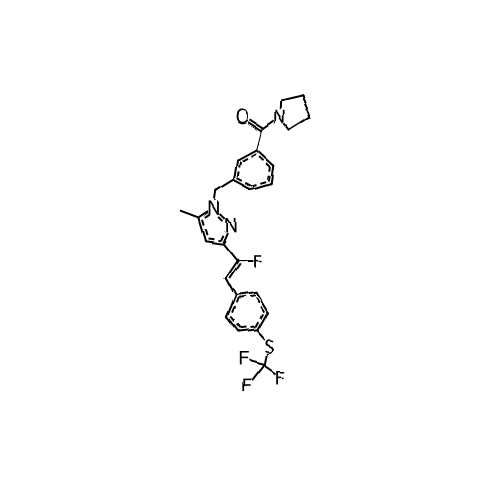 Cc1cc(C(F)=Cc2ccc(SC(F)(F)F)cc2)nn1Cc1cccc(C(=O)N2CCCC2)c1